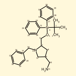 CC(C)(C)[Si](OCC1CC(CN)CN1Cc1ccccc1)(c1ccccc1)c1ccccc1